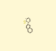 S=C1[C]=CC=CC1c1ccc2ccccc2c1